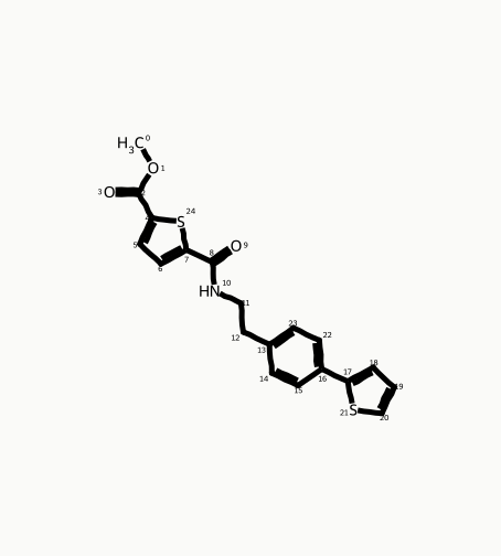 COC(=O)c1ccc(C(=O)NCCc2ccc(-c3cccs3)cc2)s1